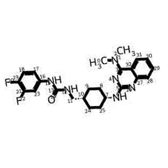 CN(C)c1nc(N[C@H]2CC[C@@H](CNC(=O)Nc3ccc(F)c(F)c3)CC2)nc2ccccc12